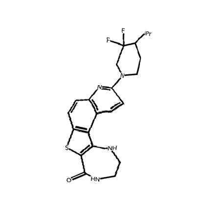 CC(C)C1CCN(c2ccc3c(ccc4sc5c(c43)NCCNC5=O)n2)CC1(F)F